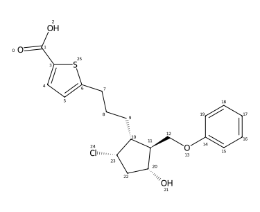 O=C(O)c1ccc(CCC[C@@H]2[C@@H](COc3ccccc3)[C@H](O)C[C@@H]2Cl)s1